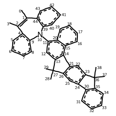 CC1=C(C)c2ccccc2N(c2cc3c(c4ccccc24)-c2cc4c(cc2C3(C)C)-c2ccccc2C4(C)C)c2ccccc21